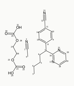 CC#N.CCCCC(c1ccc(C#N)cc1)c1ncccn1.O=C(O)OCCOC(=O)O